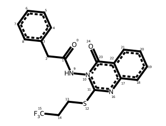 O=C(Cc1ccccc1)Nn1c(SCCC(F)(F)F)nc2ccccc2c1=O